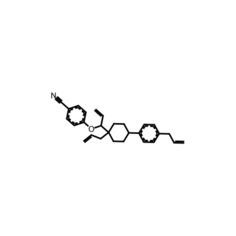 C=CCc1ccc(C2CCC(CC=C)(C(C=C)Oc3ccc(C#N)cc3)CC2)cc1